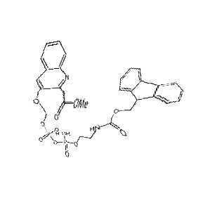 COC(=O)c1nc2ccccc2cc1OCOP(=O)(O)OP(=O)(O)OCCNC(=O)OCC1c2ccccc2-c2ccccc21